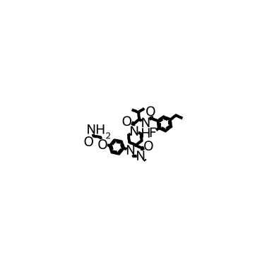 CCc1ccc(F)c(C(=O)NC(C(=O)N2CCC3(CC2)C(=O)N(C)CN3c2ccc(OCC(N)=O)cc2)C(C)C)c1